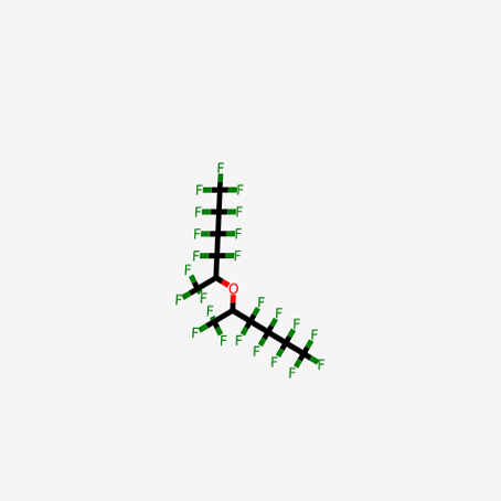 FC(F)(F)C(OC(C(F)(F)F)C(F)(F)C(F)(F)C(F)(F)C(F)(F)F)C(F)(F)C(F)(F)C(F)(F)C(F)(F)F